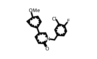 COc1ccc(-c2ccc(=O)n(Cc3ccc(F)c(Cl)c3)c2)cc1